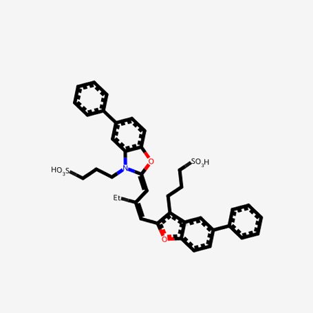 CCC(=Cc1oc2ccc(-c3ccccc3)cc2c1CCCS(=O)(=O)O)C=C1Oc2ccc(-c3ccccc3)cc2N1CCCS(=O)(=O)O